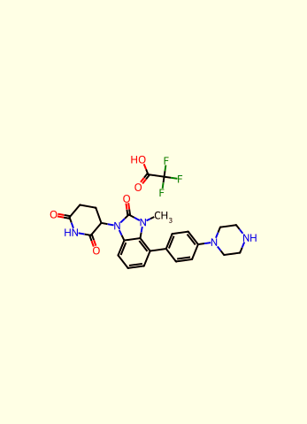 Cn1c(=O)n(C2CCC(=O)NC2=O)c2cccc(-c3ccc(N4CCNCC4)cc3)c21.O=C(O)C(F)(F)F